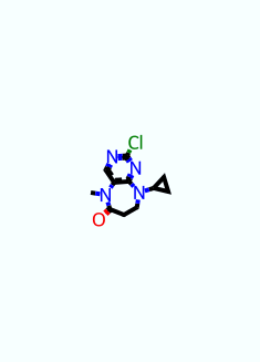 CN1C(=O)CCN(C2CC2)c2nc(Cl)ncc21